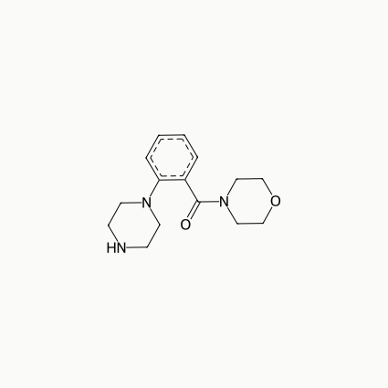 O=C(c1ccccc1N1CCNCC1)N1CCOCC1